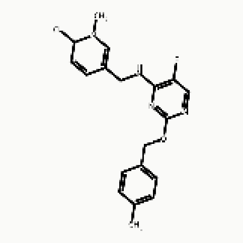 Cc1ccc(COc2ncc(F)c(NCC3=CN(C)C(Cl)C=C3)n2)cc1